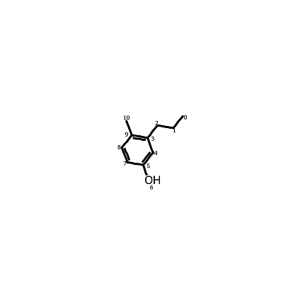 CCCc1cc(O)ccc1C